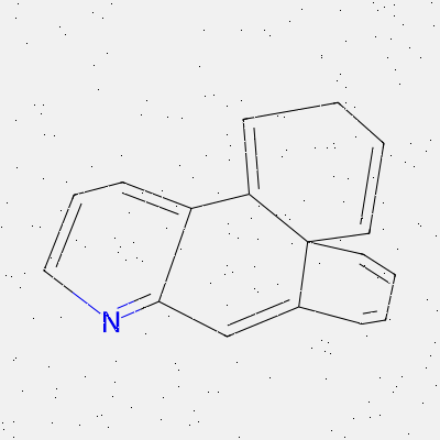 C1=CC2=Cc3ncccc3C3=CCC=CC23C=C1